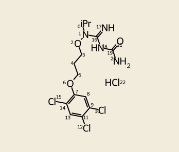 CC(C)N(OCCCOc1cc(Cl)c(Cl)cc1Cl)C(=N)NC(N)=O.Cl